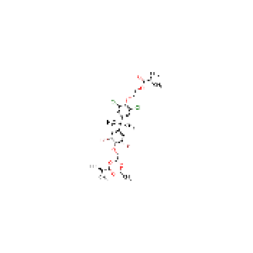 C=C(C)C(=O)OCCOc1c(Cl)cc(C(C)(C)c2cc(Br)c(OCC(OCC)OC(=O)C(=C)C)c(Br)c2)cc1Cl